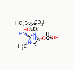 CCO.CN1CC(=O)NC1=N.CO.O=C(O)CC(=O)O